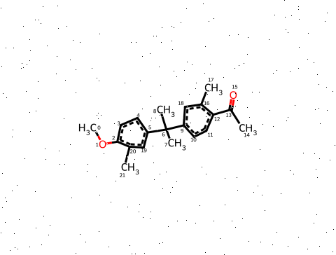 COc1ccc(C(C)(C)c2ccc(C(C)=O)c(C)c2)cc1C